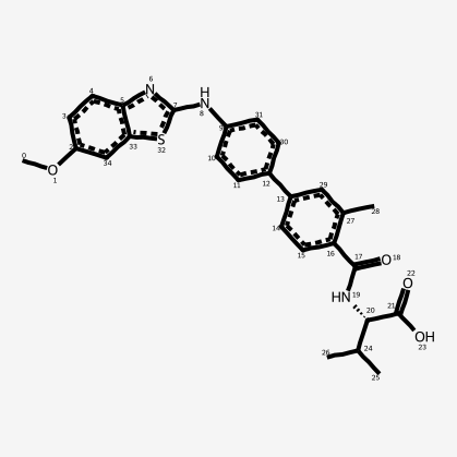 COc1ccc2nc(Nc3ccc(-c4ccc(C(=O)N[C@H](C(=O)O)C(C)C)c(C)c4)cc3)sc2c1